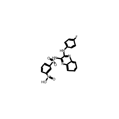 O=[N+](O)c1cccc(S(=O)(=O)Nc2nc3ccccc3nc2Nc2ccc(F)cc2)c1